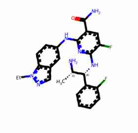 CCn1ncc2cc(Nc3nc(N[C@H](c4ccccc4F)[C@H](C)N)c(F)cc3C(N)=O)ccc21